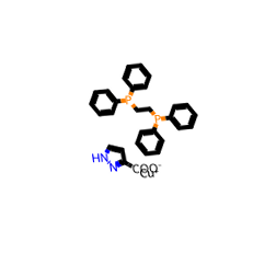 O=C([O-])c1cc[nH]n1.[Cu+].c1ccc(P(CCP(c2ccccc2)c2ccccc2)c2ccccc2)cc1